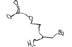 CC(CCOC(=O)Cl)CC(C)(C)C